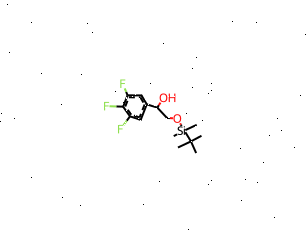 CC(C)(C)[Si](C)(C)OCC(O)c1cc(F)c(F)c(F)c1